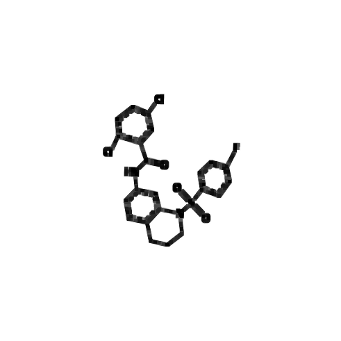 O=C(Nc1ccc2c(c1)N(S(=O)(=O)c1ccc(F)cc1)CCC2)c1cc(Cl)ccc1Cl